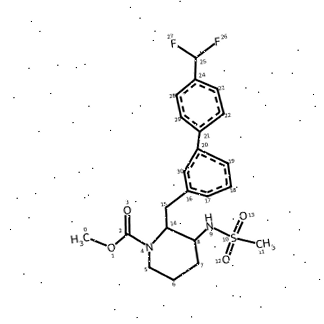 COC(=O)N1CCCC(NS(C)(=O)=O)C1Cc1cccc(-c2ccc(C(F)F)cc2)c1